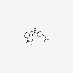 CC(=O)Nc1ccc(S(=O)(=O)Nc2cccc(N(C)C(C)=O)c2)cc1